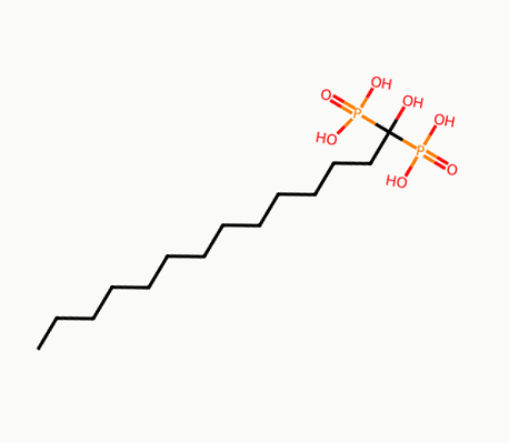 CCCCCCCCCCCCCC(O)(P(=O)(O)O)P(=O)(O)O